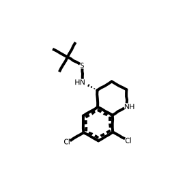 CC(C)(C)SN[C@@H]1CCNc2c(Cl)cc(Cl)cc21